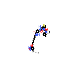 CCN(C(=O)Cn1c(C(=O)NC2CCC(C(=O)NCCCCCCCCOc3ccc([N+](=O)[O-])c4nonc34)CC2)cc2sccc21)c1cccc(C)c1